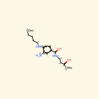 CCCCCCCCCCCCCCNc1ccc(C(=O)NCCC(=O)OC)cc1N